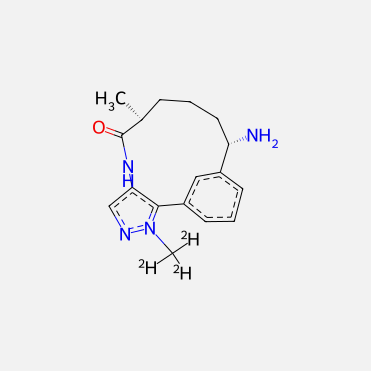 [2H]C([2H])([2H])n1ncc2c1-c1cccc(c1)[C@@H](N)CCC[C@@H](C)C(=O)N2